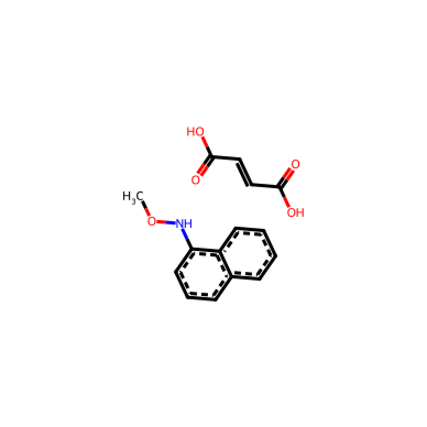 CONc1cccc2ccccc12.O=C(O)/C=C/C(=O)O